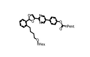 CCCCCCOCCCCc1ccccc1C1OC=C(c2ncc(-c3ccc(OC(=O)CCCCC)cc3)cn2)O1